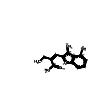 CCC(=Cc1oc2cccc(O)c2c1C)C(=O)O